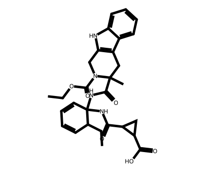 CCOC(=O)N1Cc2[nH]c3ccccc3c2CC1(C)C(=O)NC1(NC(=O)C2CC2C(=O)O)C=CC=CC1CC